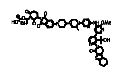 COc1ncc(-c2ccnc(N3CCc4c(sc5c4CCCC5)C3=O)c2C(C)(C)O)cc1Nc1ccc(N2CCN(C3CCN(c4ccc5c(c4)C(=O)N(C4CCC(=O)N(C(C)OP(=O)(O)O)C4=O)C5=O)CC3)C[C@@H]2C)cn1